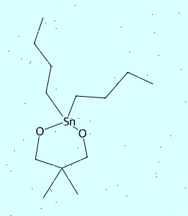 CCC[CH2][Sn]1([CH2]CCC)[O]CC(C)(C)C[O]1